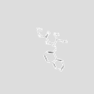 CC(C)(C)OC(=O)N[C@@H](Cc1cccc2ccccc12)C(O)O